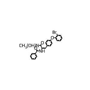 CN(O)C(=O)/C(=C\c1ccc(Oc2ccccc2Br)cc1)NC(=O)c1ccccc1